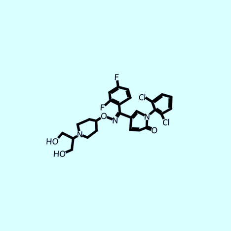 O=c1ccc(C(=NOC2CCN(C(CO)CO)CC2)c2ccc(F)cc2F)cn1-c1c(Cl)cccc1Cl